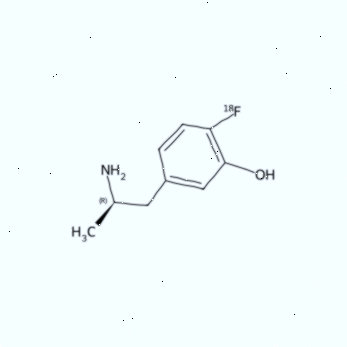 C[C@@H](N)Cc1ccc([18F])c(O)c1